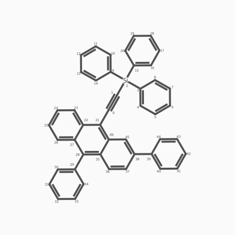 C(#C[Si](c1ccccc1)(c1ccccc1)c1ccccc1)c1c2ccccc2c(-c2ccccc2)c2ccc(-c3ccccc3)cc12